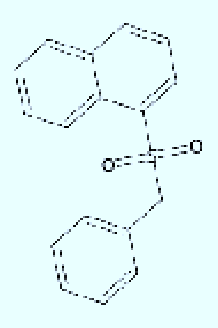 O=S(=O)(Cc1ccccc1)c1cccc2ccccc12